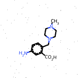 CN1CCN(Cc2ccc(N)cc2C(=O)O)CC1